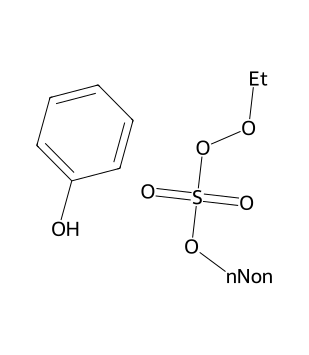 CCCCCCCCCOS(=O)(=O)OOCC.Oc1ccccc1